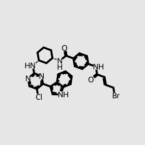 O=C(/C=C/CBr)Nc1ccc(C(=O)N[C@H]2CCC[C@@H](Nc3ncc(Cl)c(-c4c[nH]c5ccccc45)n3)C2)cc1